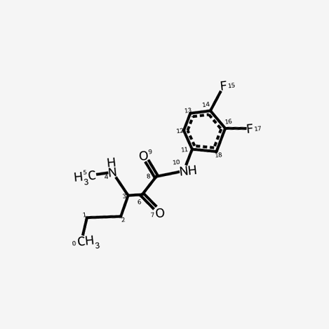 CCCC(NC)C(=O)C(=O)Nc1ccc(F)c(F)c1